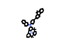 CC1(C)c2ccccc2-c2ccc(-c3ccc(N(c4ccc5ccccc5c4)c4cc5c6c(c4)c4cccc7c4n6-c4c(cccc4C5(C)C)C7(C)C)cc3)cc21